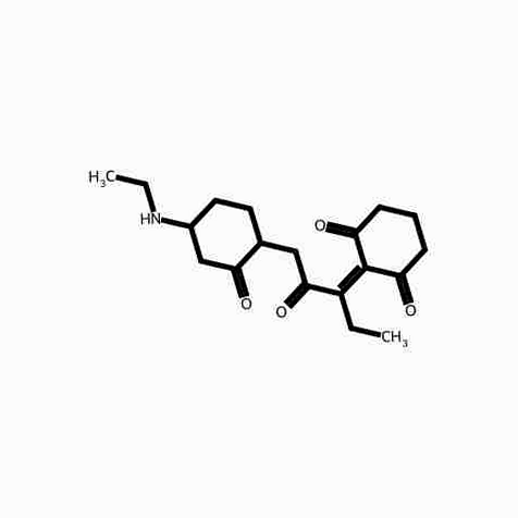 CCNC1CCC(CC(=O)C(CC)=C2C(=O)CCCC2=O)C(=O)C1